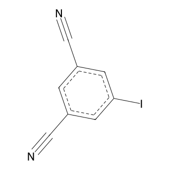 N#Cc1cc(I)cc(C#N)c1